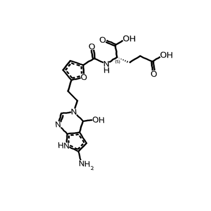 Nc1cc2c([nH]1)N=CN(CCc1ccc(C(=O)N[C@@H](CCC(=O)O)C(=O)O)o1)C2O